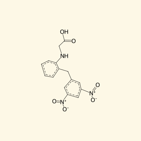 O=C(O)CNc1ccccc1Cc1cc([N+](=O)[O-])cc([N+](=O)[O-])c1